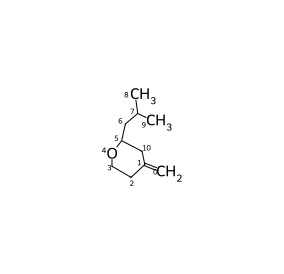 C=C1CCOC(CC(C)C)C1